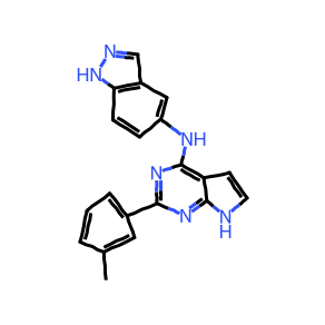 Cc1cccc(-c2nc(Nc3ccc4[nH]ncc4c3)c3cc[nH]c3n2)c1